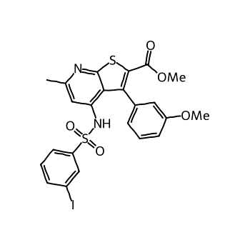 COC(=O)c1sc2nc(C)cc(NS(=O)(=O)c3cccc(I)c3)c2c1-c1cccc(OC)c1